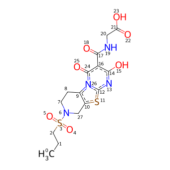 CCCS(=O)(=O)N1CCc2c(sc3nc(O)c(C(=O)NCC(=O)O)c(=O)n23)C1